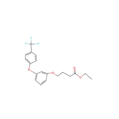 CCOC(=O)CCCOc1cccc(Oc2ccc(C(F)(F)F)cc2)c1